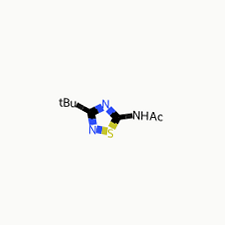 CC(=O)Nc1nc(C(C)(C)C)ns1